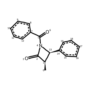 C[C@H]1C(=O)N(C(=O)c2ccccc2)[C@H]1c1ccccc1